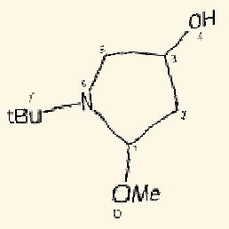 COC1CC(O)CN1C(C)(C)C